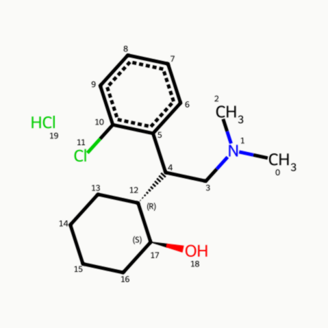 CN(C)CC(c1ccccc1Cl)[C@H]1CCCC[C@@H]1O.Cl